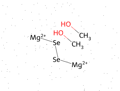 CO.CO.[Mg+2][Se][Se][Mg+2]